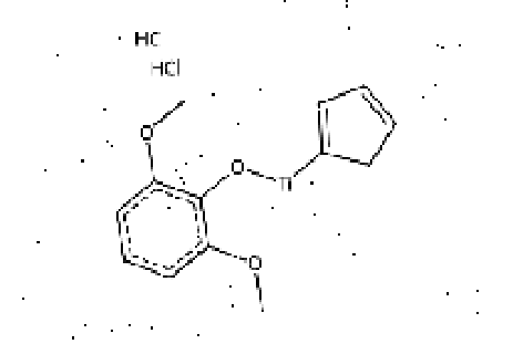 COc1cccc(OC)c1[O][Ti][C]1=CC=CC1.Cl.Cl